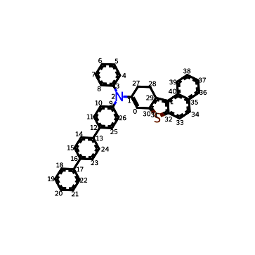 C1=C(N(c2ccccc2)c2ccc(-c3ccc(-c4ccccc4)cc3)cc2)CCc2c1sc1ccc3ccccc3c21